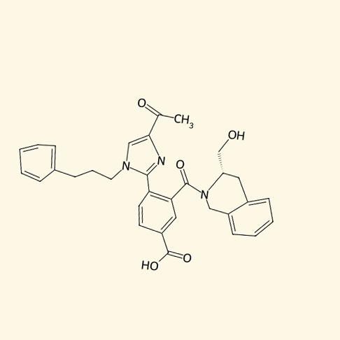 CC(=O)c1cn(CCCc2ccccc2)c(-c2ccc(C(=O)O)cc2C(=O)N2Cc3ccccc3C[C@H]2CO)n1